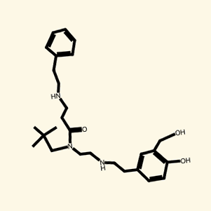 CC(C)(C)CN(CCNCCc1ccc(O)c(CO)c1)C(=O)CCNCCc1ccccc1